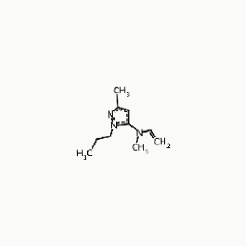 C=CN(C)c1cc(C)nn1CCC